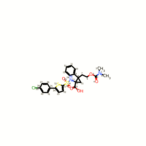 CN(C)C(=O)OCCC1(c2ccccc2)CC1(NS(=O)(=O)c1ccc(-c2ccc(Cl)cc2)s1)C(=O)O